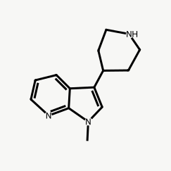 Cn1cc(C2CCNCC2)c2cccnc21